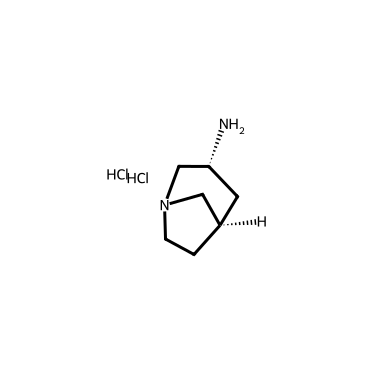 Cl.Cl.N[C@@H]1C[C@H]2CCN(C1)C2